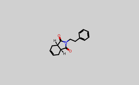 O=C1[C@H]2CC=CC[C@H]2C(=O)N1CCc1ccccc1